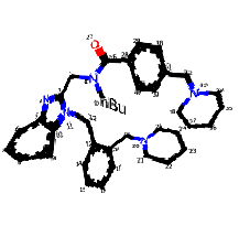 CCCCN(Cc1nc2ccccc2n1Cc1ccccc1CN1CCCCC1)C(=O)c1ccc(CN2CCCCC2)cc1